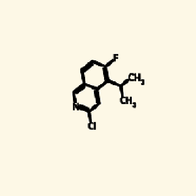 CC(C)c1c(F)ccc2cnc(Cl)cc12